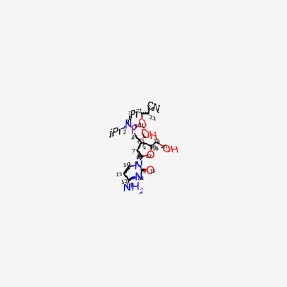 CC(C)N(C(C)C)P(C[C@]1(O)C[C@H](n2ccc(N)nc2=O)O[C@@H]1CO)OCCC#N